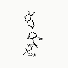 CC(C)(CNC(=O)c1ncc(-c2ccc3c(=O)[nH]ncc3c2)cc1O)C(=O)O